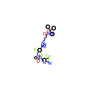 N#Cc1ncc(N2C(=O)C3(CCC3)N(Cc3ccc(-c4cn(CCCCC(=O)NOC(c5ccccc5)(c5ccccc5)c5ccccc5)nn4)cc3F)C2=S)cc1C(F)(F)F